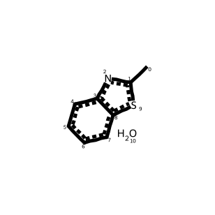 Cc1nc2ccccc2s1.O